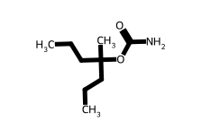 CCCC(C)(CCC)OC(N)=O